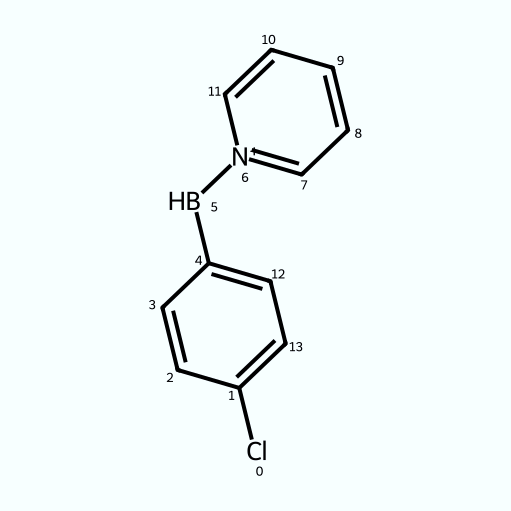 Clc1ccc(B[n+]2ccccc2)cc1